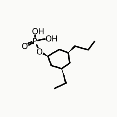 CCC[C@H]1C[C@@H](CC)C[C@@H](OP(=O)(O)O)C1